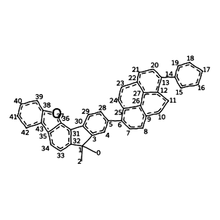 CC1(C)c2cc(-c3ccc4ccc5c(-c6ccccc6)ccc6ccc3c4c65)ccc2-c2c1ccc1c2oc2ccccc21